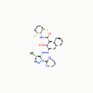 N#Cc1cnn(-c2ncccn2)c1/N=N/c1cc2ccccc2c(C(=O)Nc2c(F)cccc2F)c1O